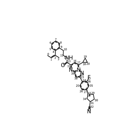 C/C=C(/C)c1ccccc1CCNC(=O)c1cc(C2CC2)n2nc(-c3ccc(N4CCC(C#N)C4)cc3F)cc2n1